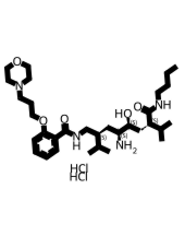 CCCCNC(=O)[C@@H](C[C@H](O)[C@@H](N)C[C@H](CNC(=O)c1ccccc1OCCCN1CCOCC1)C(C)C)C(C)C.Cl.Cl